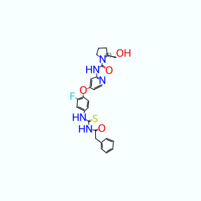 O=C(Cc1ccccc1)NC(=S)Nc1ccc(Oc2ccnc(NC(=O)N3CCC[C@H]3CO)c2)c(F)c1